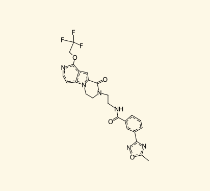 Cc1nc(-c2cccc(C(=O)NCCN3CCn4c(cc5c(OCC(F)(F)F)nccc54)C3=O)c2)no1